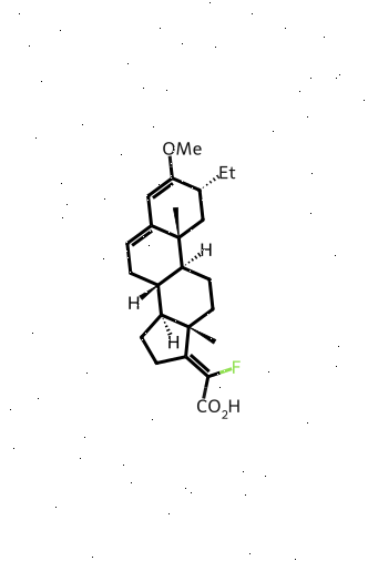 CC[C@@H]1C[C@@]2(C)C(=CC[C@@H]3[C@@H]2CC[C@]2(C)C(=C(F)C(=O)O)CC[C@@H]32)C=C1OC